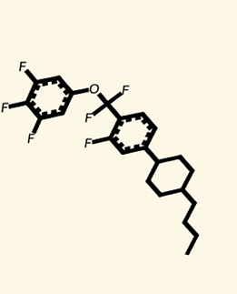 CCCCC1CCC(c2ccc(C(F)(F)Oc3cc(F)c(F)c(F)c3)c(F)c2)CC1